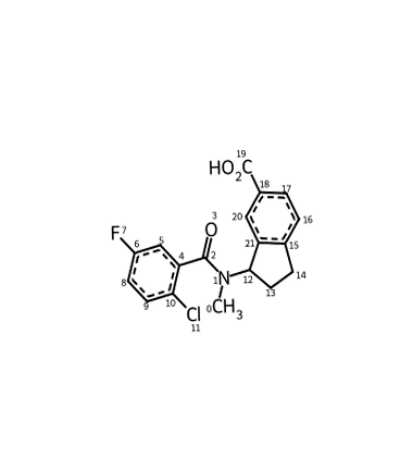 CN(C(=O)c1cc(F)ccc1Cl)C1CCc2ccc(C(=O)O)cc21